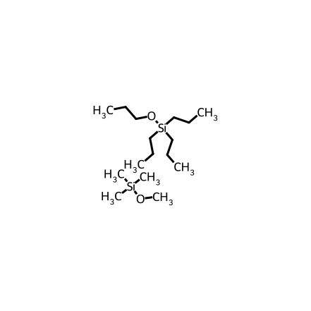 CCCO[Si](CCC)(CCC)CCC.CO[Si](C)(C)C